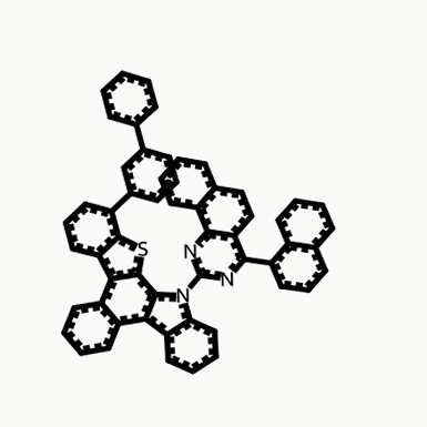 c1ccc(-c2cccc(-c3cccc4c3sc3c4c4ccccc4c4c5ccccc5n(-c5nc(-c6cccc7ccccc67)c6ccc7ccccc7c6n5)c34)c2)cc1